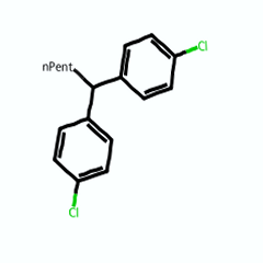 CCCCCC(c1ccc(Cl)cc1)c1ccc(Cl)cc1